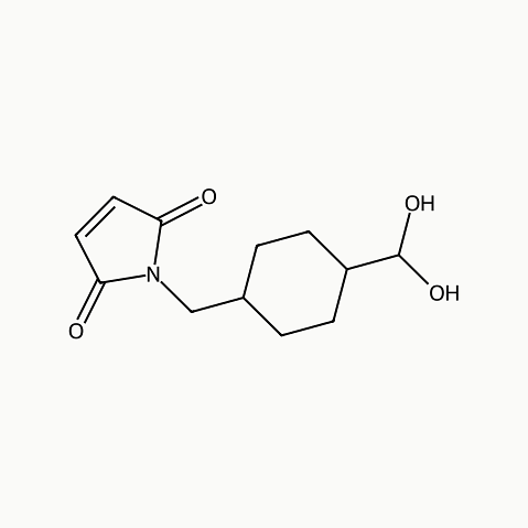 O=C1C=CC(=O)N1CC1CCC(C(O)O)CC1